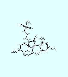 CCOC(=O)OC1=C(c2c(C)cc(C)cc2C)C(=O)N(OCCS(C)(=O)=O)C12CCN(OC)CC2